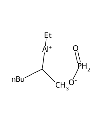 CCCC[CH](C)[Al+][CH2]C.O=[PH2][O-]